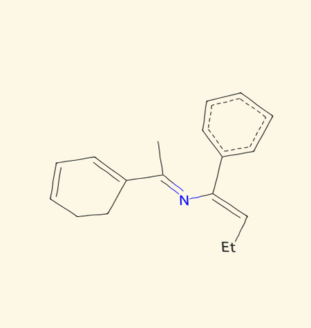 CC/C=C(\N=C(/C)C1=CC=CCC1)c1ccccc1